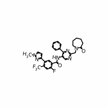 Cn1ccc(-c2cc(C(=O)Nc3cnc(CN4CCCCCC4=O)nc3-c3ccccc3)c(F)cc2C(F)(F)F)n1